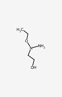 CCON(N)CCO